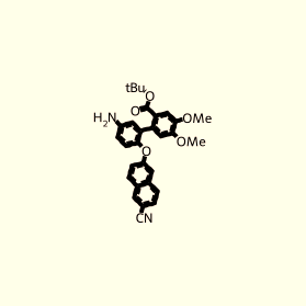 COc1cc(C(=O)OC(C)(C)C)c(-c2cc(N)ccc2Oc2ccc3cc(C#N)ccc3c2)cc1OC